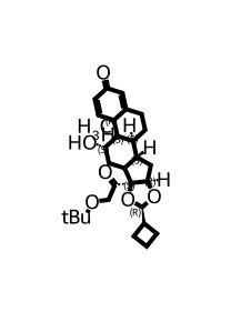 CC(C)(C)OCC(=O)[C@@]12O[C@H](C3CCC3)O[C@@H]1C[C@@H]1C2C[C@H](O)[C@H]2[C@H]1CCC1=CC(=O)C=C[C@@]12C